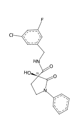 O=C(NCc1cc(F)cc(Cl)c1)[C@@]1(O)CCN(c2ccccc2)C1=O